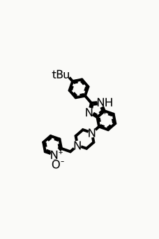 CC(C)(C)c1ccc(-c2nc3c(N4CCN(Cc5cccc[n+]5[O-])CC4)cccc3[nH]2)cc1